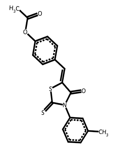 CC(=O)Oc1ccc(/C=C2\SC(=S)N(c3cccc(C)c3)C2=O)cc1